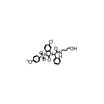 COc1ccc(S(=O)(=O)n2c(=O)n(C(C(=O)NCCCO)c3ccccc3)c3cc(Cl)ccc32)cc1